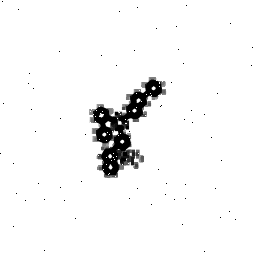 C[Si]1(C)c2ccc(-c3nc(-c4ccc5cc(-c6ccccc6)ccc5c4)nc(-c4ccccc4-c4ccccc4)n3)cc2-c2ccc3ccccc3c21